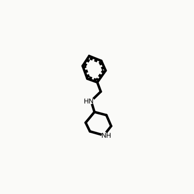 c1ccc(CNC2CCNCC2)cc1